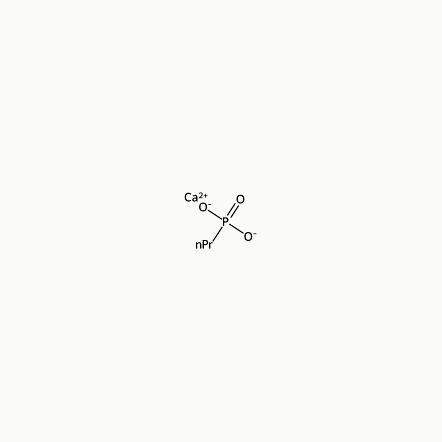 CCCP(=O)([O-])[O-].[Ca+2]